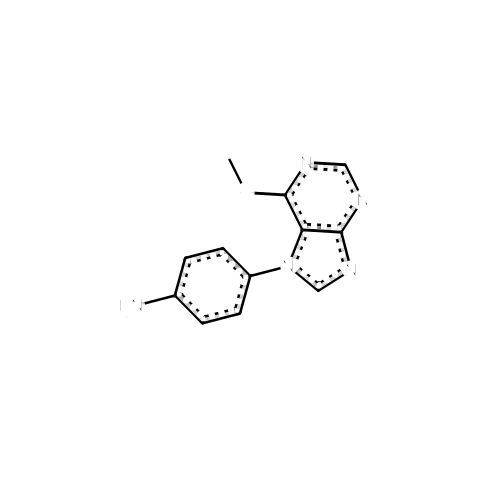 COc1ncnc2ncn(-c3ccc(N)cc3)c12